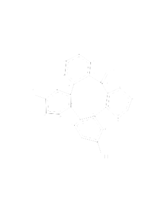 Cc1ccc2c(c1)-c1ccccc1C(=O)c1ccccc1-c1cc(C)ccc1-2